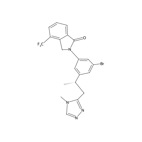 C[C@@H](Cc1nncn1C)c1cc(Br)cc(N2Cc3c(cccc3C(F)(F)F)C2=O)c1